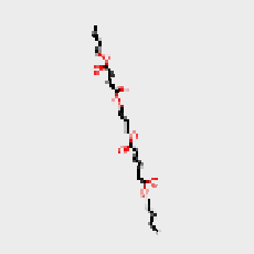 CCCCCOC(=O)CCCCC(=O)OCCCCOC(=O)CCC(=O)OCCCC